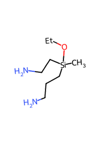 CCO[Si](C)(CCN)CCCN